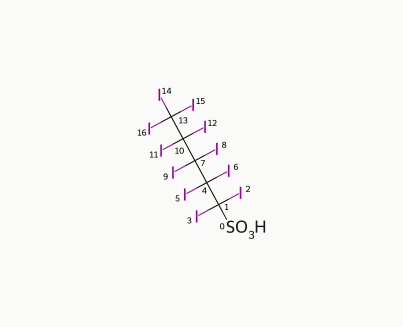 O=S(=O)(O)C(I)(I)C(I)(I)C(I)(I)C(I)(I)C(I)(I)I